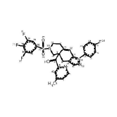 Cc1ccnc(C(=O)C23Cc4cnn(-c5ccc(F)cc5)c4C=C2CCN(S(=O)(=O)c2cc(F)c(F)c(F)c2)C3)c1